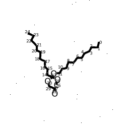 CCCCCCCCCCCCOC1(CCCCCCCCCCC)OCC(=O)CO1